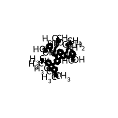 C=C(C)C(=O)NCCCN(Cc1ccccc1B(O)O)Cc1c2ccccc2c(CN(CCCNC(=O)C(=C)C)Cc2ccccc2B(O)O)c2cc(C3=C4C=CC(=[N+](C)C)C=C4[Si](C)(C)c4cc(N(C)C)ccc43)ccc12